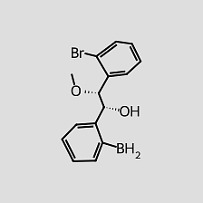 Bc1ccccc1[C@@H](O)[C@H](OC)c1ccccc1Br